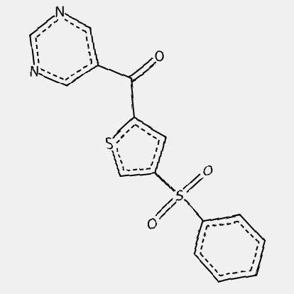 O=C(c1cncnc1)c1cc(S(=O)(=O)c2ccccc2)cs1